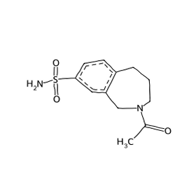 CC(=O)N1CCCc2ccc(S(N)(=O)=O)cc2C1